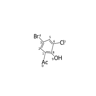 CC(=O)c1cc(Br)cc(Cl)c1O